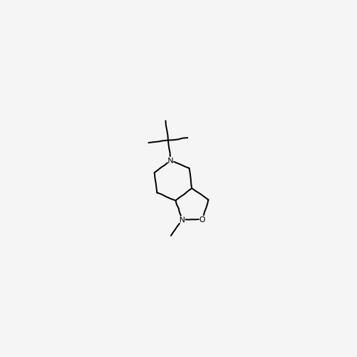 CN1OCC2CN(C(C)(C)C)CCC21